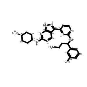 NCCC(Nc1nccc(-c2n[nH]c3nc(N[C@H]4CC[C@H](N)CC4)ncc23)n1)c1cccc(Cl)c1